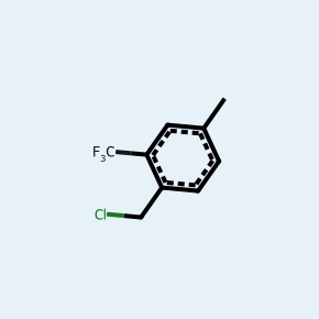 Cc1ccc(CCl)c(C(F)(F)F)c1